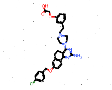 Nc1nc2c(c(N3CCN(CCc4cccc(OCC(=O)O)c4)CC3)n1)CCc1cc(OCc3ccc(Cl)cc3)ccc1-2